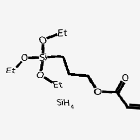 C=CC(=O)OCCC[Si](OCC)(OCC)OCC.[SiH4]